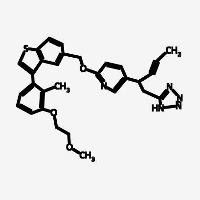 CC#CC(Cc1nnn[nH]1)c1ccc(OCc2ccc3scc(-c4cccc(OCCOC)c4C)c3c2)nc1